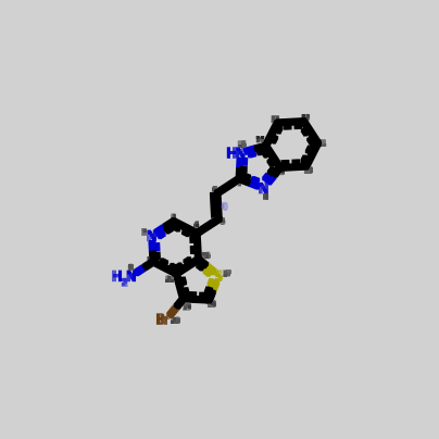 Nc1ncc(/C=C/c2nc3ccccc3[nH]2)c2scc(Br)c12